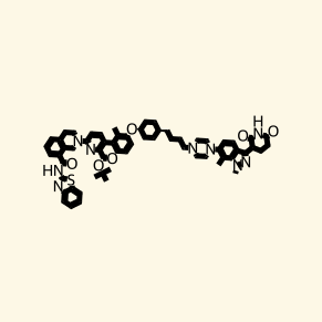 Cc1c(O[C@H]2CC[C@H](CCCCN3CCN(c4ccc5c(C6CCC(=O)NC6=O)nn(C)c5c4C)CC3)CC2)cccc1-c1ccc(N2CCc3cccc(C(=O)Nc4nc5ccccc5s4)c3C2)nc1C(=O)OC(C)(C)C